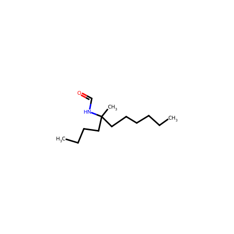 CCCCCCC(C)(CCCC)NC=O